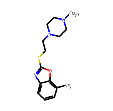 O=C(O)N1CCN(CCSc2nc3cccc(C(F)(F)F)c3o2)CC1